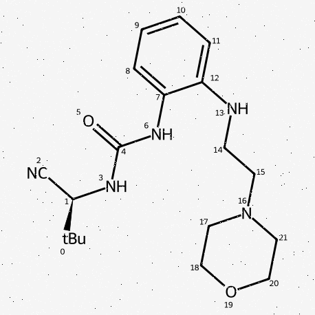 CC(C)(C)[C@@H](C#N)NC(=O)Nc1ccccc1NCCN1CCOCC1